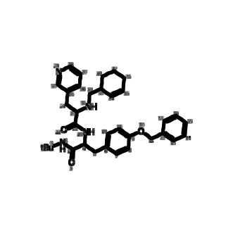 CC(C)(C)NC(=O)C(Cc1ccc(OCc2ccccc2)cc1)NC(=O)C(Cc1cccnc1)NCC1C=CCCC1